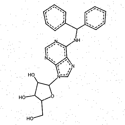 OCC1OC(n2cnc3c(NC(c4ccccc4)c4ccccc4)ncnc32)C(O)C1O